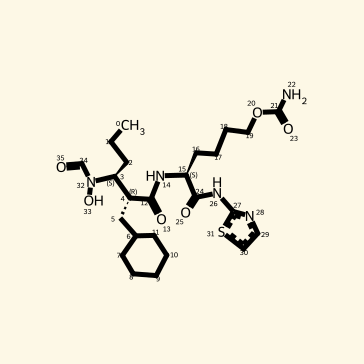 CCC[C@@H]([C@@H](CC1CCCCC1)C(=O)N[C@@H](CCCCOC(N)=O)C(=O)Nc1nccs1)N(O)C=O